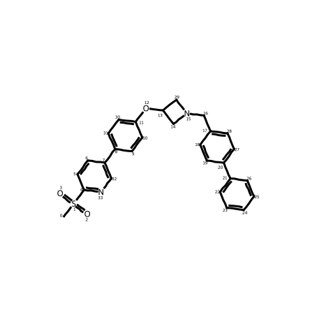 CS(=O)(=O)c1ccc(-c2ccc(OC3CN(Cc4ccc(-c5ccccc5)cc4)C3)cc2)cn1